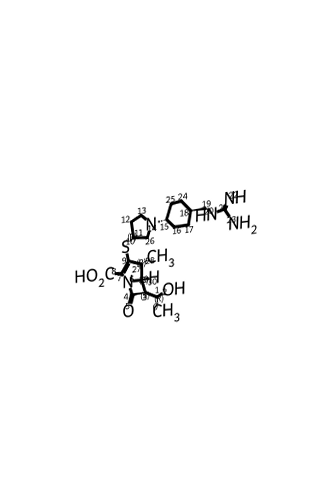 C[C@@H](O)[C@H]1C(=O)N2C(C(=O)O)=C(S[C@@H]3CCN([C@H]4CC[C@H](CNC(=N)N)CC4)C3)[C@H](C)[C@H]12